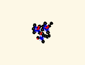 CC1(C)c2cc3c(cc2-c2c(-c4ccc(-c5nc(-c6ccc(-c7ccccc7)cc6)nc(-n6c7ccccc7c7c(-c8cccc(-c9nc(-c%10ccccc%10)nc(-n%10c%11ccccc%11c%11ccc%12c%13ccccc%13n(-c%13ccccc%13)c%12c%11%10)n9)c8)cc8c9ccccc9n(-c9ccccc9)c8c76)n5)cc4)cccc21)-c1ccccc1C3c1nc(-c2ccccc2)nc(-c2ccccc2)n1